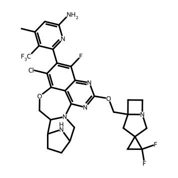 Cc1cc(N)nc(-c2c(Cl)c3c4c(nc(OCC56CCN5CC5(C6)CC5(F)F)nc4c2F)N2CC4CCC(N4)C2CO3)c1C(F)(F)F